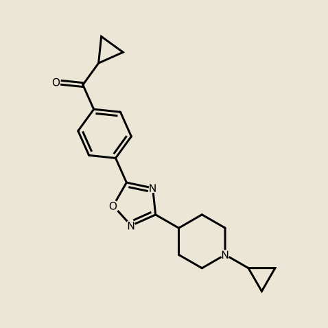 O=C(c1ccc(-c2nc(C3CCN(C4CC4)CC3)no2)cc1)C1CC1